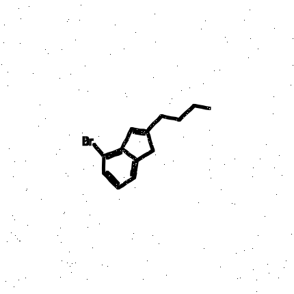 CCCCC1=Cc2c(Br)cccc2C1